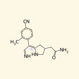 Cc1cc(C#N)ccc1/C(C=N)=C1\CC(CC(N)=O)CN1